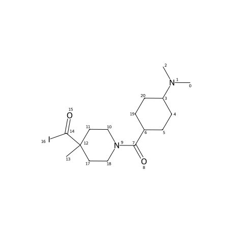 CN(C)C1CCC(C(=O)N2CCC(C)(C(=O)I)CC2)CC1